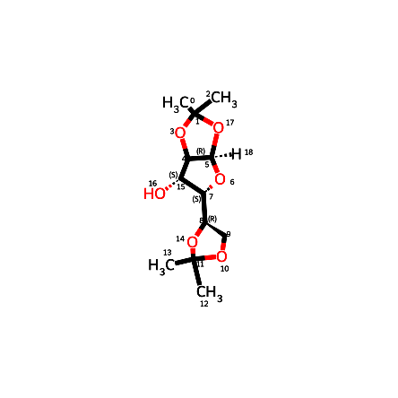 CC1(C)OC2[C@H](O[C@H]([C@H]3COC(C)(C)O3)[C@@H]2O)O1